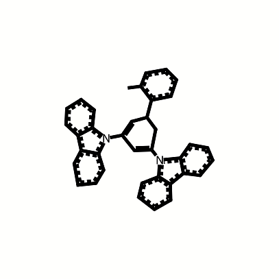 Cc1ccccc1C1C=C(n2c3ccccc3c3ccccc32)C=C(n2c3ccccc3c3ccccc32)C1